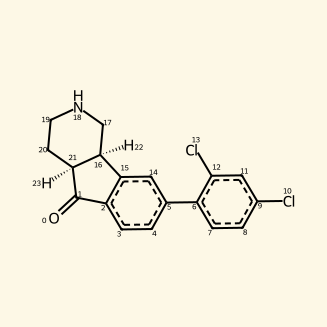 O=C1c2ccc(-c3ccc(Cl)cc3Cl)cc2[C@@H]2CNCC[C@H]12